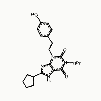 CCCn1c(=O)c2[nH]c(C3CCCC3)nc2n(CCc2ccc(O)cc2)c1=O